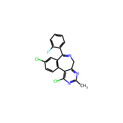 Cc1nc(Cl)c2c(n1)CN=C(c1ccccc1F)c1cc(Cl)ccc1-2